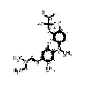 CCN(C)C=Nc1cc(F)c(N(C)c2ccc(F)c(OC(F)(F)C(F)F)c2)cc1C